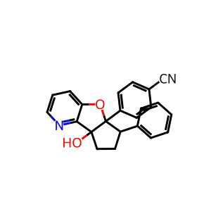 N#Cc1ccc(C23Oc4cccnc4C2(O)CCC3c2ccccc2)cc1